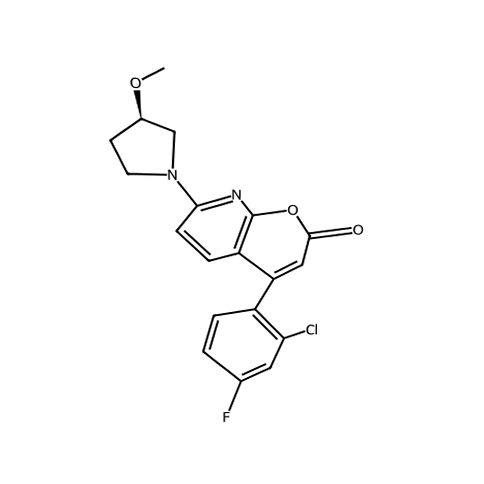 CO[C@@H]1CCN(c2ccc3c(-c4ccc(F)cc4Cl)cc(=O)oc3n2)C1